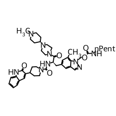 CCCCCNC(=O)OCn1ncc2cc(C[C@@H](NC(=O)N3CCC(c4cc5ccccc5[nH]c4=O)CC3)C(=O)N3CCN(C4CCN(C)CC4)CC3)cc(C)c21